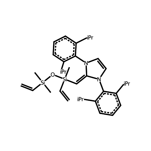 C=C[Si](C)(C)O[Si](C)(C=C)C=C1N(c2c(C(C)C)cccc2C(C)C)C=CN1c1c(C(C)C)cccc1C(C)C